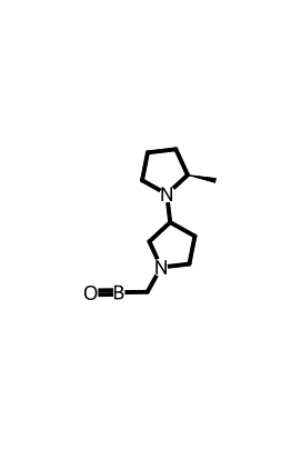 C[C@@H]1CCCN1C1CCN(CB=O)C1